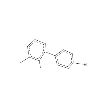 CCc1ccc(-c2cccc(C)c2C)cc1